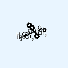 C[C@H](O[C@H](c1ccccc1)[C@@H](CN(C)C(=O)OC(C)(C)C)c1ccc2ccccc2c1)C(=O)N1CCCC1